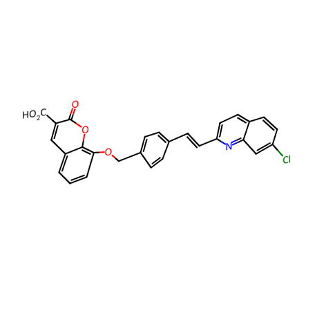 O=C(O)c1cc2cccc(OCc3ccc(C=Cc4ccc5ccc(Cl)cc5n4)cc3)c2oc1=O